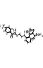 Nc1nc2cccc(CCCCNC(=O)c3ccc(C(F)(F)F)cc3)c2c2[nH]cnc12